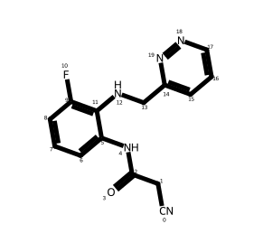 N#CCC(=O)Nc1cccc(F)c1NCc1cccnn1